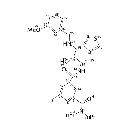 CCCN(CCC)C(=O)c1cc(C)cc(C(=O)N[C@@H](Cc2ccsc2)[C@H](O)CNCc2cccc(OC)c2)c1